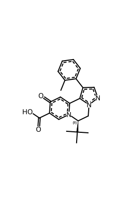 Cc1ccccc1-c1cnn2c1-c1cc(=O)c(C(=O)O)cn1[C@H](C(C)(C)C)C2